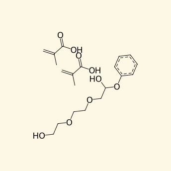 C=C(C)C(=O)O.C=C(C)C(=O)O.OCCOCCOCC(O)Oc1ccccc1